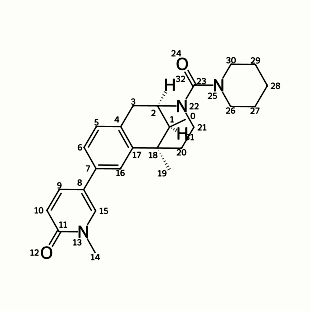 C[C@@H]1[C@H]2Cc3ccc(-c4ccc(=O)n(C)c4)cc3[C@]1(C)CCN2C(=O)N1CCCCC1